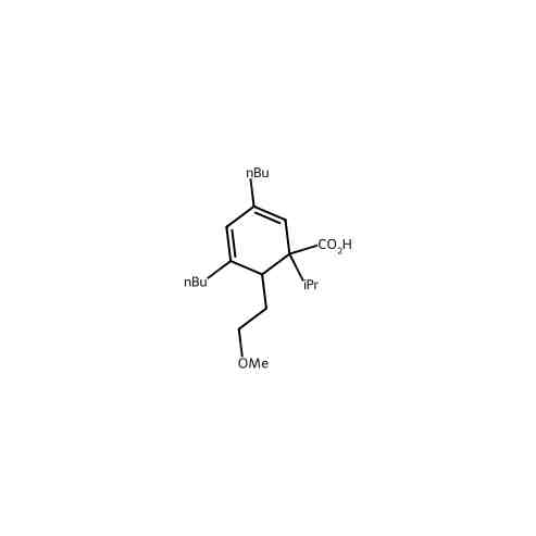 CCCCC1=CC(C(=O)O)(C(C)C)C(CCOC)C(CCCC)=C1